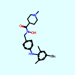 Cc1cc(C(C)(C)C)cc(C)c1Nc1ccc(CN(O)C(=O)C2CCN(C)CC2)cc1